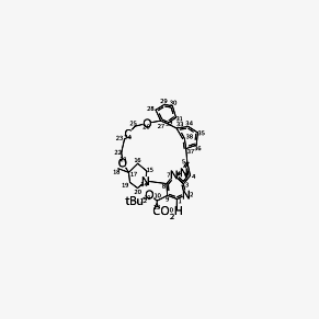 Cc1nc2cc3nn2c(c1[C@H](OC(C)(C)C)C(=O)O)N1CCC(C)(CC1)OCCCCOc1ccccc1-c1cccc-3c1